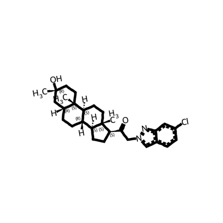 C[C@@]1(O)CC[C@@]2(C)[C@H](CC[C@@H]3[C@@H]2CC[C@]2(C)[C@@H](C(=O)Cn4cc5ccc(Cl)cc5n4)CC[C@@H]32)C1